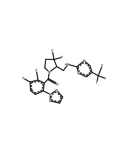 O=C(c1c(-n2nccn2)ccc(F)c1F)N1CCC(F)(F)C1CNc1ncc(C(F)(F)F)cn1